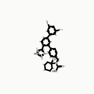 CCCCC(=O)N(Cc1ccc(-c2cc(-c3cc(F)cc(F)c3)ccc2-c2nn[nH]n2)cc1)C1(C(=O)O)CCCCC1